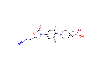 [N-]=[N+]=NCC1CN(c2cc(F)c(N3CCC4(CC3)CS(O)(O)C4)c(F)c2)C(=O)O1